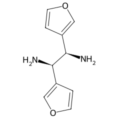 N[C@H](c1ccoc1)[C@H](N)c1ccoc1